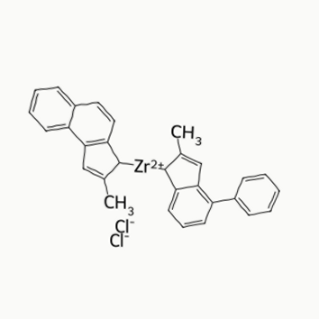 CC1=Cc2c(-c3ccccc3)cccc2[CH]1[Zr+2][CH]1C(C)=Cc2c1ccc1ccccc21.[Cl-].[Cl-]